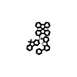 CC1(C)c2ccccc2-c2ccc(N(c3cccc4c3-c3ccccc3C43c4ccccc4-c4ccccc43)c3cccc4c3sc3c(-c5ccccc5)cccc34)cc21